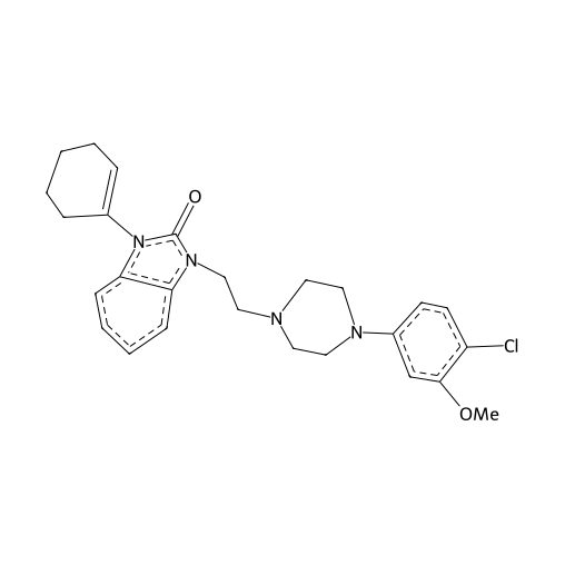 COc1cc(N2CCN(CCn3c(=O)n(C4=CCCCC4)c4ccccc43)CC2)ccc1Cl